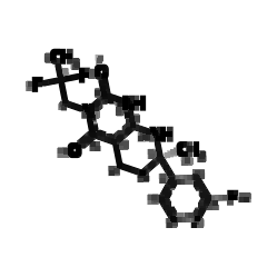 CC(F)(F)Cn1c(=O)[nH]c2c(c1=O)CC[C@](C)(c1cccc(F)c1)N2